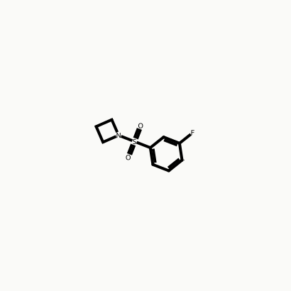 O=S(=O)(c1cc[c]c(F)c1)N1CCC1